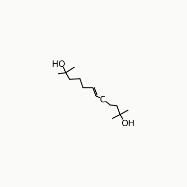 CC(C)(O)CCCC=CCCCC(C)(C)O